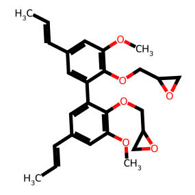 C/C=C/c1cc(OC)c(OCC2CO2)c(-c2cc(/C=C/C)cc(OC)c2OCC2CO2)c1